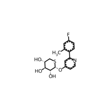 Cc1cc(F)ccc1-c1cc(O[C@H]2SC[C@@H](O)[C@H](O)[C@H]2O)ccn1